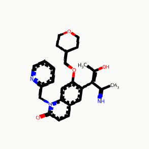 CC(=N)/C(=C(/C)O)c1cc2ccc(=O)n(Cc3ccccn3)c2cc1OCC1CCOCC1